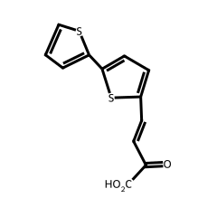 O=C(O)C(=O)C=Cc1ccc(-c2cccs2)s1